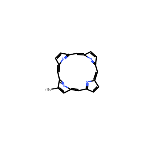 CCCCC1=CC2=CC3=NC(=CC4=NC(=CC5=NC(=CC1=N2)C=C5)C=C4)C=C3